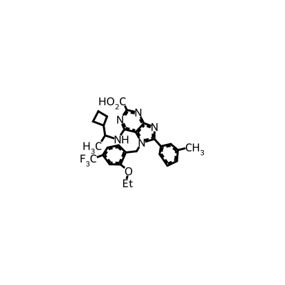 CCOc1cc(C(F)(F)F)ccc1Cn1c(-c2cccc(C)c2)nc2nc(C(=O)O)nc(NC(C)C3CCC3)c21